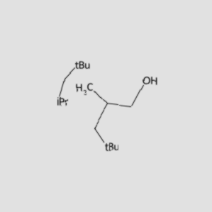 CC(C)CC(C)(C)C.CC(CO)CC(C)(C)C